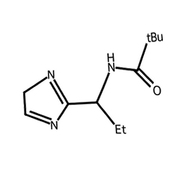 CCC(NC(=O)C(C)(C)C)C1=NCC=N1